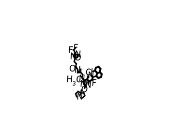 CN(CC1CN(C(=O)CCc2nc(C(F)F)no2)C1)c1nc(OCC23CCCN2CCC3)nc2c(F)c(-c3cccc4cccc(Cl)c34)ncc12